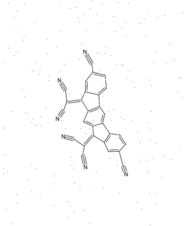 N#CC(C#N)=C1c2cc(C#N)ccc2-c2cc3c(cc21)C(=C(C#N)C#N)c1cc(C#N)ccc1-3